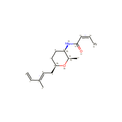 C=C/C(C)=C/C[C@H]1CC[C@@H](NC(=O)/C=C\C(C)C)[C@@H](C)O1